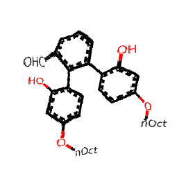 CCCCCCCCOc1ccc(-c2cccc(C=O)c2-c2ccc(OCCCCCCCC)cc2O)c(O)c1